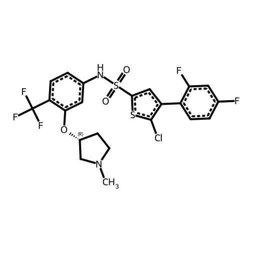 CN1CC[C@@H](Oc2cc(NS(=O)(=O)c3cc(-c4ccc(F)cc4F)c(Cl)s3)ccc2C(F)(F)F)C1